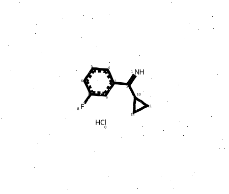 Cl.N=C(c1cccc(F)c1)C1CC1